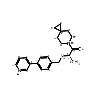 C[C@H](NCc1ccc(-c2cccnc2)cc1)C(=O)N1CCC2(CC1)CC2